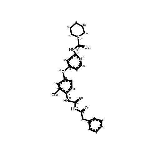 O=C(Cc1ccccc1)NC(=S)Nc1ccc(Oc2ccnc(NC(=O)N3CCCCC3)c2)cc1Cl